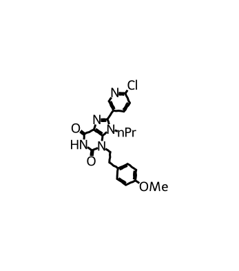 CCCn1c(-c2ccc(Cl)nc2)nc2c(=O)[nH]c(=O)n(CCc3ccc(OC)cc3)c21